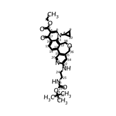 CCOC(=O)c1cn(C2CC2)c2c3c(ccc2c1=O)-c1cnc(NCCNC(=O)OC(C)(C)C)cc1COC3